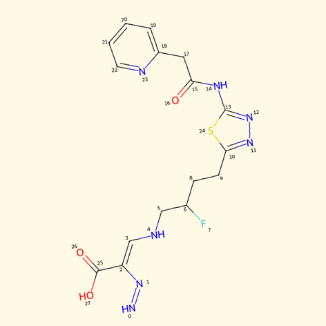 N=N/C(=C\NCC(F)CCc1nnc(NC(=O)Cc2ccccn2)s1)C(=O)O